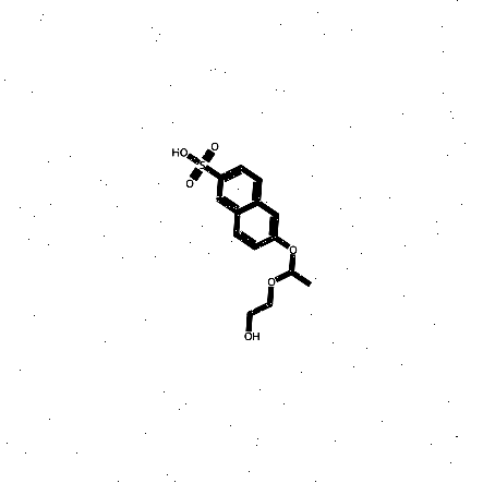 CC(OCCO)Oc1ccc2cc(S(=O)(=O)O)ccc2c1